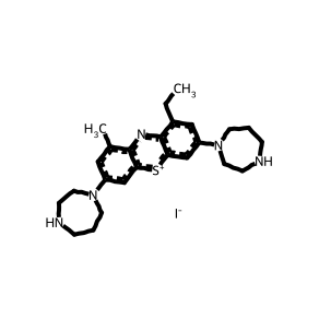 CCc1cc(N2CCCNCC2)cc2[s+]c3cc(N4CCCNCC4)cc(C)c3nc12.[I-]